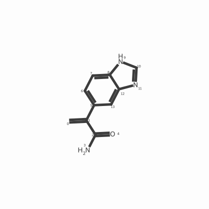 C=C(C(N)=O)c1ccc2[nH]cnc2c1